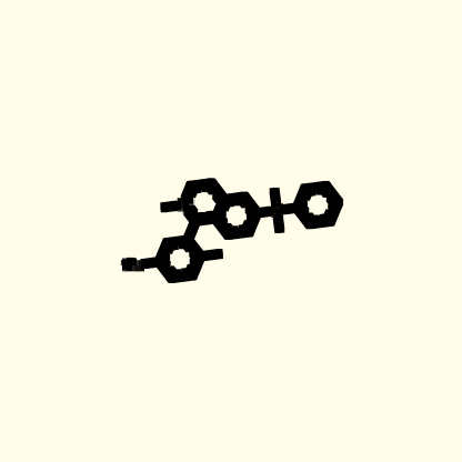 Cc1ccc(C(C)(C)C)cc1-c1c2ccc([Si](C)(C)c3ccccc3)cc2cc[n+]1C